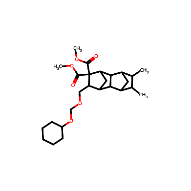 COC(=O)C1(C(=O)OC)C(COCOC2CCCCC2)C2CC1C1C3CC(C(C)C3C)C21